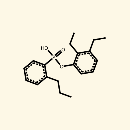 CCCc1ccccc1P(=O)(O)Oc1cccc(CC)c1CC